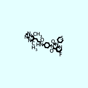 Cc1nc2ncnn2c(C)c1CCC(=O)NC1CCC(n2c(=O)c3cc(F)cnc3n(C3CCSCC3)c2=O)CC1